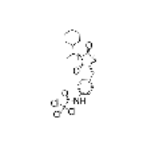 CC(C1CCCCC1)N1C(=O)SC(=Cc2ccc(NC(=O)C(Cl)(Cl)Cl)cc2)C1=O